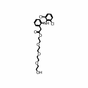 O=C(Cc1ccccc1Nc1c(Cl)cccc1Cl)OCCOCCOCCOCCO